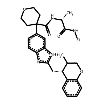 CCNC(=O)[C@@H](C)NC(=O)C1(c2ccc3nc(C[C@H]4c5ccccc5OCC4C)[nH]c3c2)CCOCC1